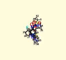 CC1(S(=O)(=O)NC(=O)c2ccc3nc(N4C5CC(NCc6c(-c7c(F)cccc7F)noc6C6CC6)CC4C5)sc3c2)CC1